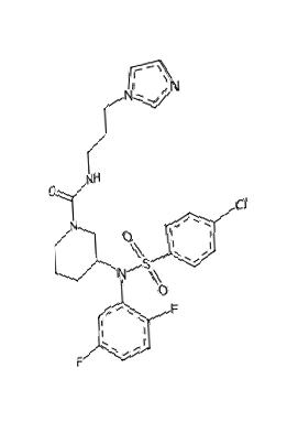 O=C(NCCCn1ccnc1)N1CCCC(N(c2cc(F)ccc2F)S(=O)(=O)c2ccc(Cl)cc2)C1